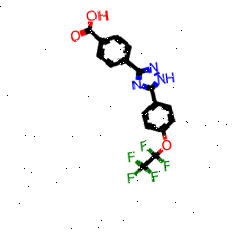 O=C(O)c1ccc(-c2n[nH]c(-c3ccc(OC(F)(F)C(F)(F)F)cc3)n2)cc1